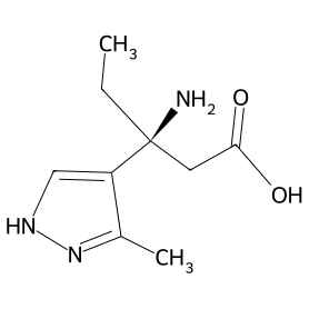 CC[C@](N)(CC(=O)O)c1c[nH]nc1C